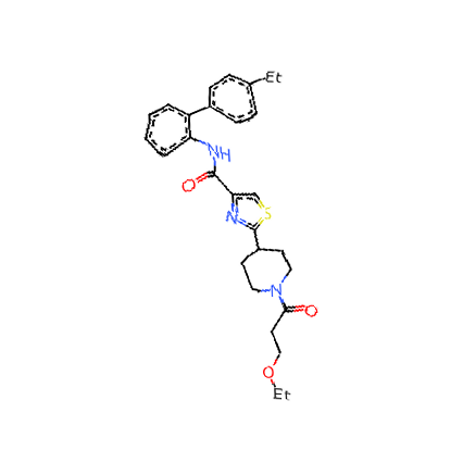 CCOCCC(=O)N1CCC(c2nc(C(=O)Nc3ccccc3-c3ccc(CC)cc3)cs2)CC1